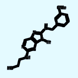 CCn1c(NCc2cccc(OC)c2)nc2cnc(NCCO)nc21